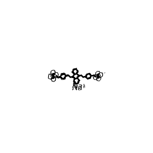 O=S(=O)([O-])OCc1ccc(CCc2c3ccccc3c(CCc3ccc(COS(=O)(=O)[O-])cc3)c3ccccc23)cc1.[Na+].[Na+]